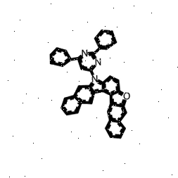 c1ccc(-c2cc(-n3c4cc5ccccc5cc4c4c5c(ccc43)oc3cc4ccccc4cc35)nc(-c3ccccc3)n2)cc1